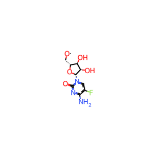 Nc1nc(=O)n([C@@H]2O[C@H](C[O])[C@@H](O)[C@H]2O)cc1F